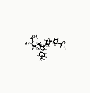 COC[C@H](C)Nc1ncc2c(-c3cnn([C@@H]4CCN(C(C)=O)C4)c3)cc([C@H]3CC[C@H](O)CC3)n2n1